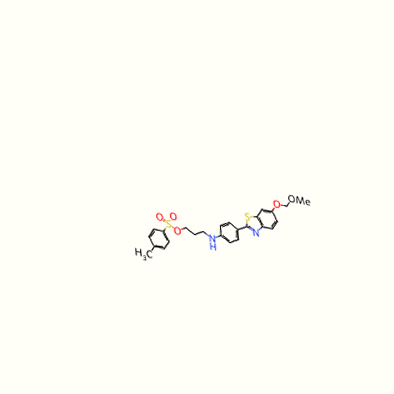 COCOc1ccc2nc(-c3ccc(NCCCOS(=O)(=O)c4ccc(C)cc4)cc3)sc2c1